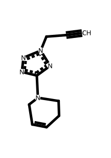 C#CCn1nnc(N2CC=CCC2)n1